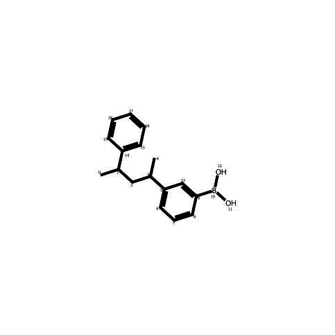 CC(CC(C)c1cccc(B(O)O)c1)c1ccccc1